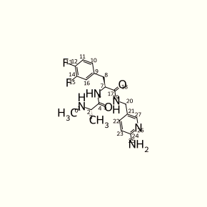 CN[C@@H](C)C(=O)N[C@@H](Cc1ccc(F)c(F)c1)C(=O)NCc1ccc(N)nc1